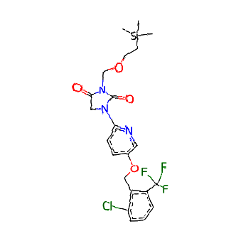 C[Si](C)(C)CCOCN1C(=O)CN(c2ccc(OCc3c(Cl)cccc3C(F)(F)F)cn2)C1=O